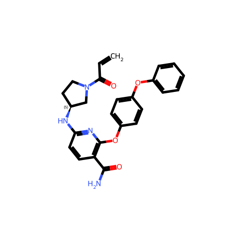 C=CC(=O)N1CC[C@H](Nc2ccc(C(N)=O)c(Oc3ccc(Oc4ccccc4)cc3)n2)C1